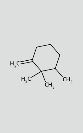 C=C1CCC[C](C)C1(C)C